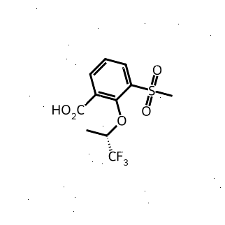 C[C@H](Oc1c(C(=O)O)cccc1S(C)(=O)=O)C(F)(F)F